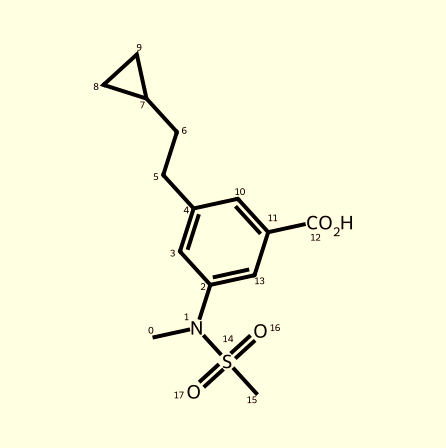 CN(c1cc(CCC2CC2)cc(C(=O)O)c1)S(C)(=O)=O